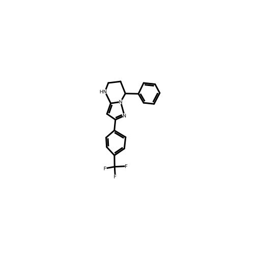 FC(F)(F)c1ccc(-c2cc3n(n2)C(c2ccccc2)CCN3)cc1